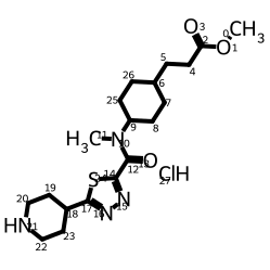 COC(=O)CCC1CCC(N(C)C(=O)c2nnc(C3CCNCC3)s2)CC1.Cl